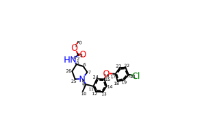 COC(=O)NC1CCN(C(C)c2cccc(Oc3ccc(Cl)cc3)c2)CC1